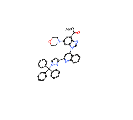 COC(=O)c1cc(N2CCOCC2)cc2c1ncn2-c1cc(-c2ccn(C(c3ccccc3)(c3ccccc3)c3ccccc3)n2)nc2ccccc12